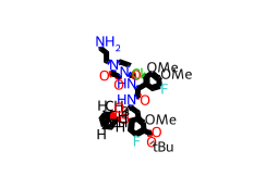 COc1c(F)cc(C(NC(=O)N2CCN(CCCN)C(=O)C2=O)C(=O)NC(Cc2ccc(F)c(C(=O)OC(C)(C)C)c2OC)B2O[C@@H]3C[C@@H]4C[C@@H](C4(C)C)[C@]3(C)O2)c(Cl)c1OC